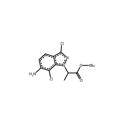 CC(C(=O)OC(C)(C)C)n1nc(Cl)c2ccc(N)c(Cl)c21